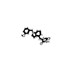 COc1cccc(Cn2ccc3c(CC4SC(=O)NC4=O)cccc32)c1